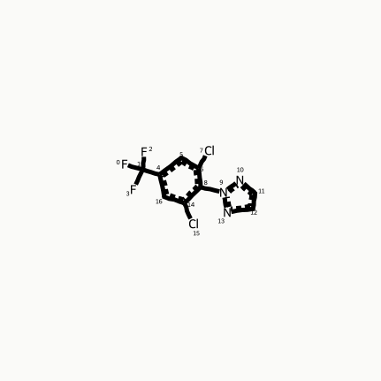 FC(F)(F)c1cc(Cl)c(-n2n[c]cn2)c(Cl)c1